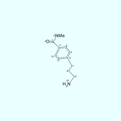 CNC(=O)c1ccc(CCCN)cc1